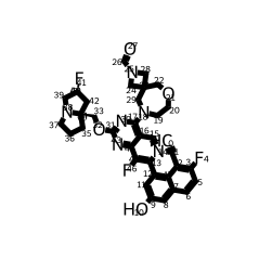 C#Cc1c(F)ccc2cc(O)cc(-c3ncc4c(N5CCOCC6(CN(C=O)C6)C5)nc(OC[C@@]56CCCN5C[C@H](F)C6)nc4c3F)c12